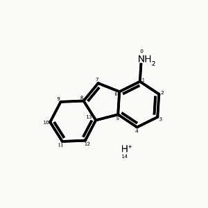 Nc1cccc2c1C=C1CC=CC=C12.[H+]